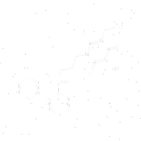 CCCCn1c(=O)n(CCCP2(=O)Oc3ccccc3-c3ccccc32)c(=O)n(CC(C)CC)c1=O